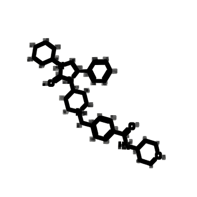 O=C(NC1CCOCC1)c1ccc(CN2CCC(N3C(=O)N(C4CCCCC4)C[C@H]3c3ccccc3)CC2)cc1